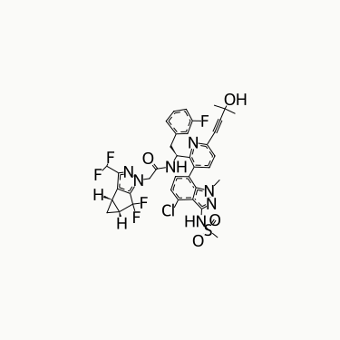 Cn1nc(NS(C)(=O)=O)c2c(Cl)ccc(-c3ccc(C#CC(C)(C)O)nc3[C@H](Cc3cccc(F)c3)NC(=O)Cn3nc(C(F)F)c4c3C(F)(F)[C@@H]3C[C@H]43)c21